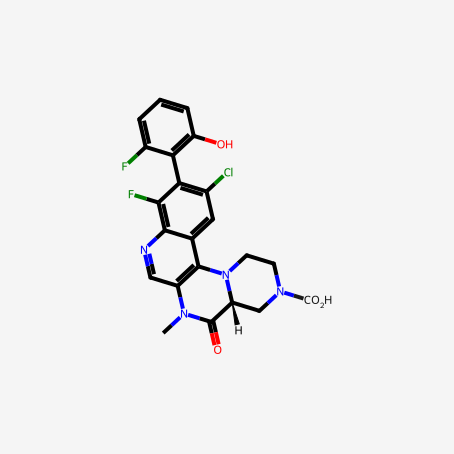 CN1C(=O)[C@H]2CN(C(=O)O)CCN2c2c1cnc1c(F)c(-c3c(O)cccc3F)c(Cl)cc21